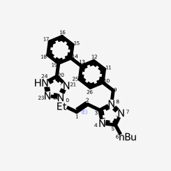 CC/C=C/c1nc(CCCC)nn1Cc1ccc(-c2ccccc2-c2nnn[nH]2)cc1